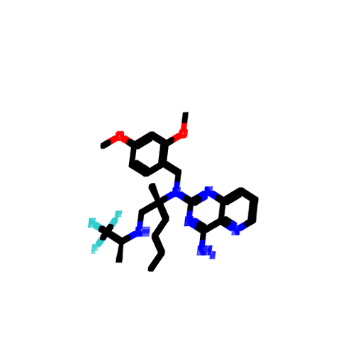 CCCC[C@](C)(CN[C@@H](C)C(F)(F)F)N(Cc1ccc(OC)cc1OC)c1nc(N)c2ncccc2n1